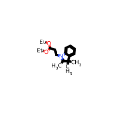 CCOC(CC[N+]1=C(C)C(C)(C)c2ccccc21)OCC